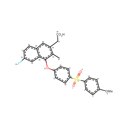 COc1ccc(S(=O)(=O)c2ccc(Oc3c(C)c(CC(=O)O)cc4ccc(F)cc34)cc2)cc1